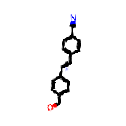 N#Cc1ccc(/C=C/c2ccc(C=O)cc2)cc1